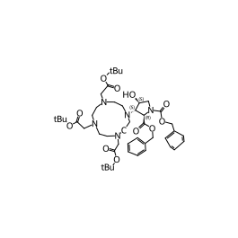 CC(C)(C)OC(=O)CN1CCN(CC(=O)OC(C)(C)C)CCN([C@@H]2[C@@H](O)CN(C(=O)OCc3ccccc3)[C@H]2C(=O)OCc2ccccc2)CCN(CC(=O)OC(C)(C)C)CC1